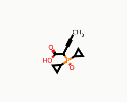 CC#CC(C(=O)O)P(=O)(C1CC1)C1CC1